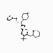 CCn1nccc1C(=O)N[C@H](c1cn2nc(CC3C[C@@H](C(F)(F)F)CNC3=O)c(C(C)(C)O)cc2n1)C1CCC(F)(F)CC1